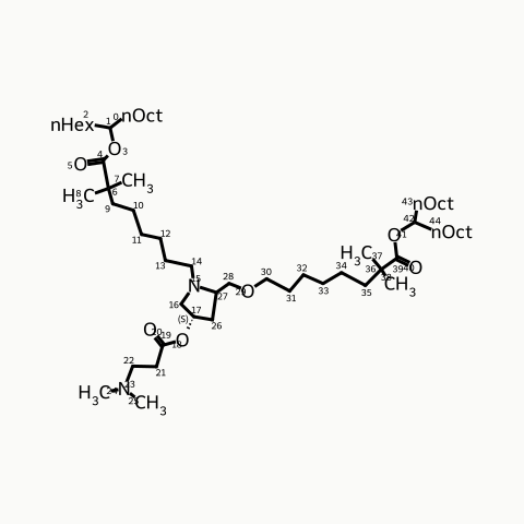 CCCCCCCCC(CCCCCC)OC(=O)C(C)(C)CCCCCCN1C[C@@H](OC(=O)CCN(C)C)CC1COCCCCCCC(C)(C)C(=O)OC(CCCCCCCC)CCCCCCCC